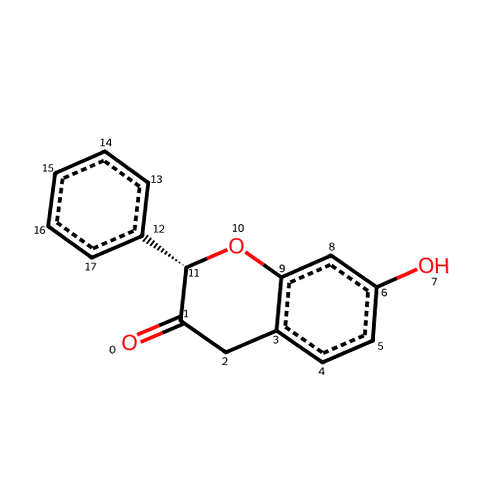 O=C1Cc2ccc(O)cc2O[C@H]1c1ccccc1